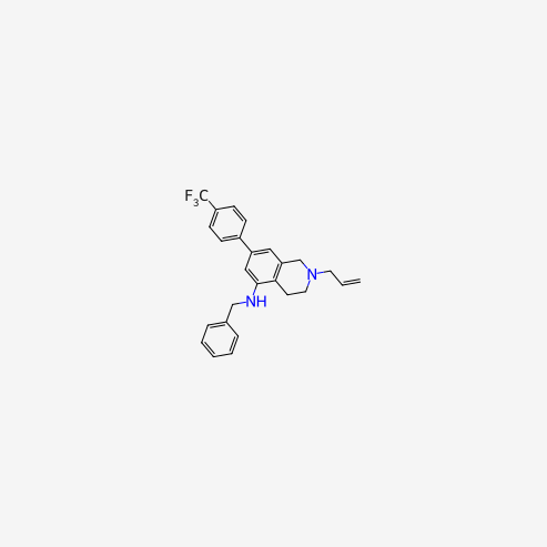 C=CCN1CCc2c(cc(-c3ccc(C(F)(F)F)cc3)cc2NCc2ccccc2)C1